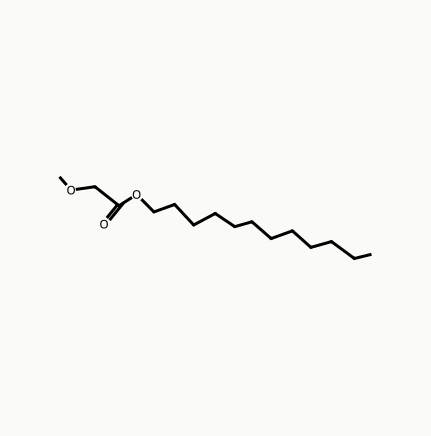 CCCCCCCCCCCCOC(=O)COC